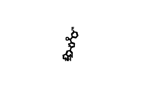 O=C(c1cccc(F)c1)c1ccc(-c2cnc3[nH]ccc3c2)s1